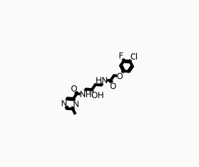 Cc1cncc(C(=O)NC[C@@H](O)CCNC(=O)COc2ccc(Cl)c(F)c2)n1